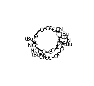 CC(C)(C)CC1(C#N)COCCOCCOCC(C#N)(CC(C)(C)C)CC2(C#N)COCCOCCOCC(C#N)(C1)CC(C#N)(C(C)(C)C)COCCOCCOCC(C#N)(C(C)(C)C)C2